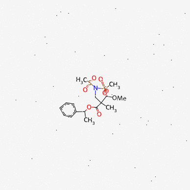 COC(=O)C(C)(CN(S(C)(=O)=O)S(C)(=O)=O)C(=O)OC(C)c1ccccc1